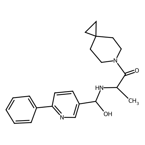 CC(NC(O)c1ccc(-c2ccccc2)nc1)C(=O)N1CCC2(CC1)CC2